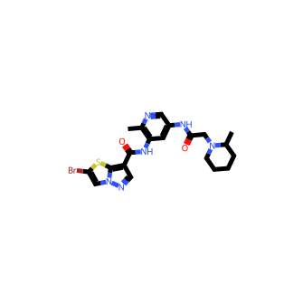 Cc1ncc(NC(=O)CN2CCCCC2C)cc1NC(=O)c1cnn2cc(Br)sc12